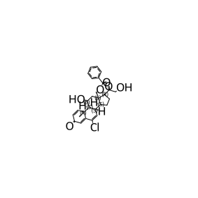 C[C@]12C=CC(=O)C=C1C(Cl)=C[C@@H]1[C@@H]2[C@@H](O)C[C@@]2(C)[C@H]1CC[C@]2(OC(=O)c1ccccc1)C(=O)CO